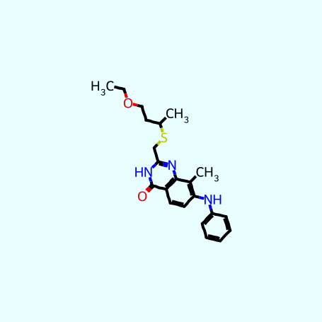 CCOCCC(C)SCc1nc2c(C)c(Nc3ccccc3)ccc2c(=O)[nH]1